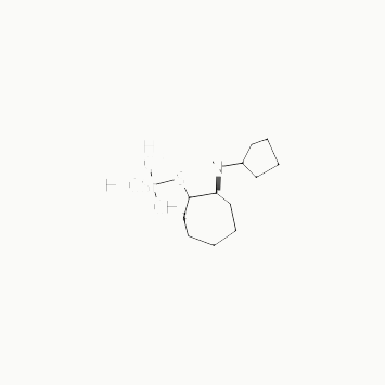 C[Si](C)(C)SC1CCCCCC1=NC1CCCC1